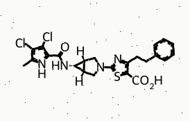 Cc1[nH]c(C(=O)N[C@@H]2[C@@H]3CN(c4nc(CCc5ccccc5)c(C(=O)O)s4)C[C@@H]32)c(Cl)c1Cl